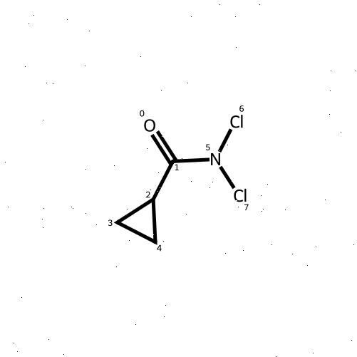 O=C(C1CC1)N(Cl)Cl